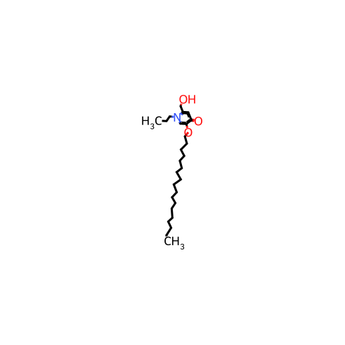 CCCCCCCCCCCCCCCCCCOc1cn(CCC)c(CO)cc1=O